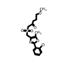 COCCCC(=O)CS(=O)(=O)Cc1nc(-c2ccccc2Cl)oc1C